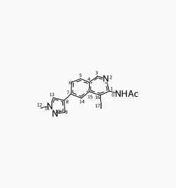 CC(=O)Nc1ncc2ccc(-c3cnn(C)c3)cc2c1I